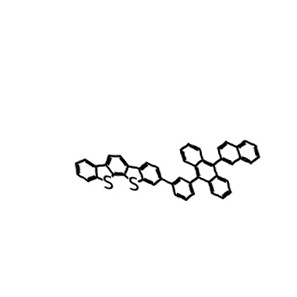 c1cc(-c2ccc3c(c2)sc2c3ccc3c4ccccc4sc32)cc(-c2c3ccccc3c(-c3ccc4ccccc4c3)c3ccccc23)c1